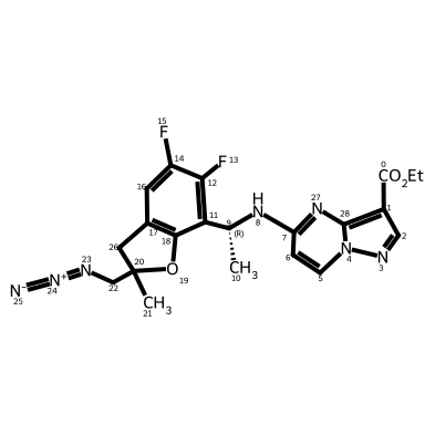 CCOC(=O)c1cnn2ccc(N[C@H](C)c3c(F)c(F)cc4c3OC(C)(CN=[N+]=[N-])C4)nc12